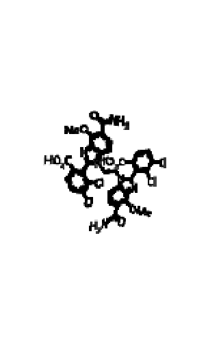 COc1c(C(N)=O)ccc2c1nc(-c1c(C(=O)O)ccc(Cl)c1Cl)n2CCn1c(-c2c(C(=O)O)ccc(Cl)c2Cl)nc2c(OC)c(C(N)=O)ccc21